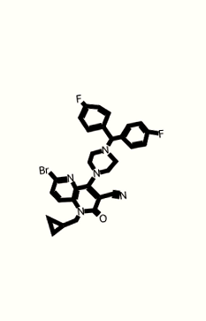 N#Cc1c(N2CCN(C(c3ccc(F)cc3)c3ccc(F)cc3)CC2)c2nc(Br)ccc2n(CC2CC2)c1=O